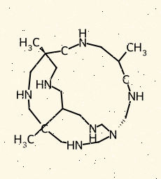 CC1CNC[N@]2CNCCCNC[C@](C)(CNC1)CNCC(C)CNC2